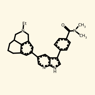 CCN1Cc2cc(-c3cnc4[nH]cc(-c5ccc(C(=O)N(C)C)cc5)c4c3)cc3c2C(CCC3)C1